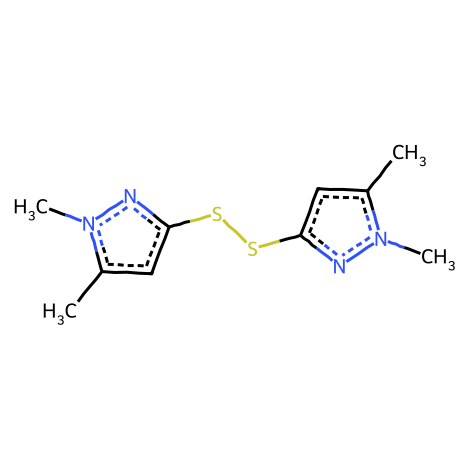 Cc1cc(SSc2cc(C)n(C)n2)nn1C